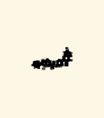 C[C@@H](NC(=O)C1CCC(NS(=O)(=O)c2ccc3cc(-c4ccccc4)[nH]c3c2)CC1)c1ccc(F)cc1